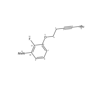 CCCCC#CCCOc1cccc(NC)c1F